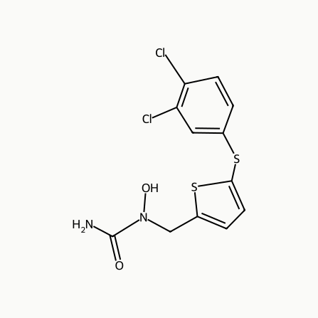 NC(=O)N(O)Cc1ccc(Sc2ccc(Cl)c(Cl)c2)s1